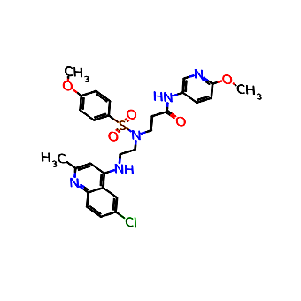 COc1ccc(S(=O)(=O)N(CCNc2cc(C)nc3ccc(Cl)cc23)CCC(=O)Nc2ccc(OC)nc2)cc1